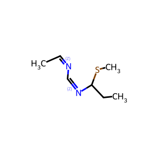 C/C=N\C=N/C(CC)SC